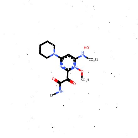 CCNC(=O)C(=O)c1nc(N2CCCCC2)cc(NC(=O)OCC)[n+]1OS(=O)(=O)O.[OH-]